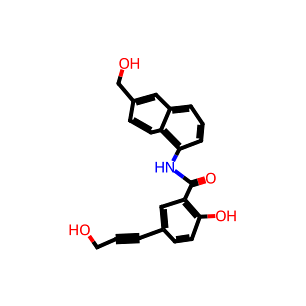 O=C(Nc1cccc2cc(CO)ccc12)c1cc(C#CCO)ccc1O